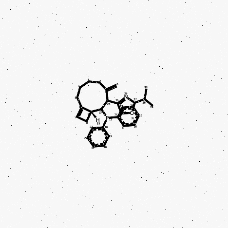 C=C1CCCCC2=CC[C@H]2C(P(c2ccccc2)c2ccccc2)C1C1=NC(C(C)C)OC1